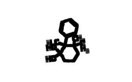 CC1(C)CCCC(O)(O)C1(C)c1ccccc1